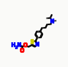 CC(C)N(C)CCCCc1ccc(-c2ncc(COC(N)=O)s2)cc1